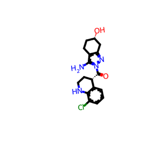 Nc1c2c(nn1C(=O)[C@H]1CCNc3c(Cl)cccc31)C[C@@H](O)CC2